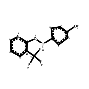 Oc1ccc(OOc2ncccc2C(F)(F)F)cc1